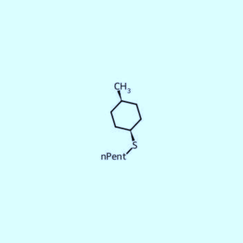 CCCCCS[C@H]1CC[C@@H](C)CC1